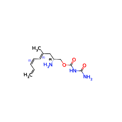 C=C/C=C\C=C(/C)C[C@@H](N)COC(=O)NC(N)=O